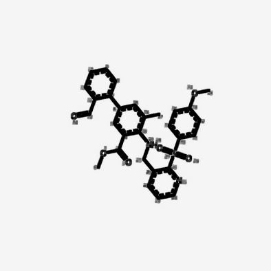 COC(=O)c1cc(-c2ccccc2C=O)cc(C)c1NCc1cccnc1S(=O)(=O)c1ccc(OC)cc1